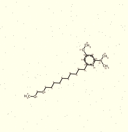 COCOCCCCCCCCCCc1cc(OC)cc(N(C)C)n1